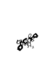 Nc1sc2ccccc2c1C(=O)N1CCC2(CC1)NC(=O)c1ccccc1N2